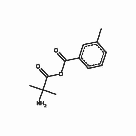 Cc1cccc(C(=O)OC(=O)C(C)(C)N)c1